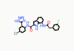 O=C(Cc1cccc(F)c1)Nc1cccc2cc(C(=O)Nc3ccc(Cl)cc3-c3nnn[nH]3)[nH]c12